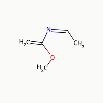 C=C(/N=C\C)OC